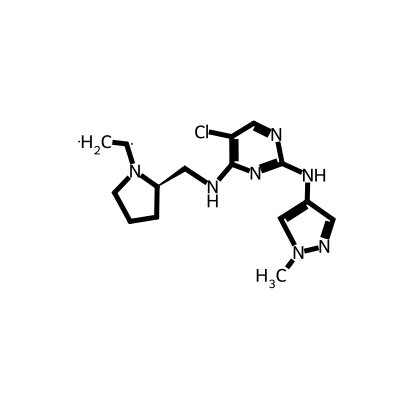 [CH2][CH]N1CCC[C@@H]1CNc1nc(Nc2cnn(C)c2)ncc1Cl